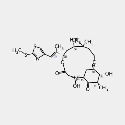 CSc1nc(/C=C(\C)[C@@H]2C[C@H](C)C(C)(C)CCC[C@@H]3C[C@@](C)(C(=O)[C@H](C)[C@H]3O)[C@@H](O)CC(=O)O2)cs1